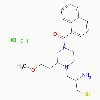 COCCC1CN(C(=O)c2cccc3ccccc23)CCN1CC(N)CS.Cl.Cl